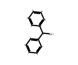 [Li][CH](c1ccccc1)c1ccccc1